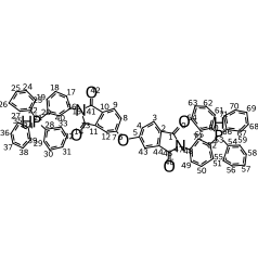 O=C1c2ccc(Oc3ccc4c(c3)C(=O)N(c3cccc([PH](c5ccccc5)(c5ccccc5)c5ccccc5)c3)C4=O)cc2C(=O)N1c1cccc([PH](c2ccccc2)(c2ccccc2)c2ccccc2)c1